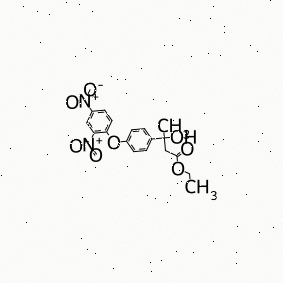 CCOC(=O)CC(C)(O)c1ccc(Oc2ccc([N+](=O)[O-])cc2[N+](=O)[O-])cc1